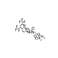 COC(CNC(=O)c1cn2c(ccc3c(C(F)(F)F)cc(C(F)(F)F)nc32)n1)OC